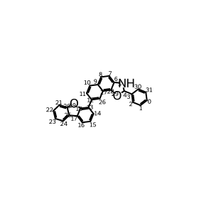 c1ccc(C2Nc3ccc4ccc(-c5cccc6c5oc5ccccc56)cc4c3O2)cc1